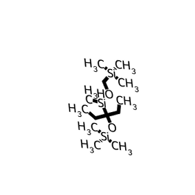 CCC(CC)(O[Si](C)(C)C)[SiH](C)OC[Si](C)(C)C